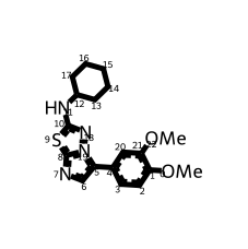 COc1ccc(-c2cnc3sc(NC4CCCCC4)nn23)cc1OC